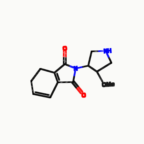 COC1CNCC1N1C(=O)C2=C(CCC=C2)C1=O